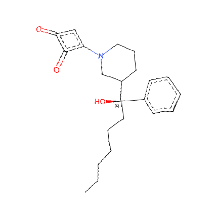 CCCCCC[C@@](O)(c1ccccc1)C1CCCN(c2cc(=O)c2=O)C1